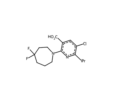 CC(C)c1nc(N2CCCC(F)(F)CC2)c(C(=O)O)cc1Cl